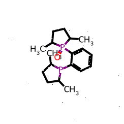 CC1CCC(C)P1c1ccccc1P1(=O)C(C)CCC1C